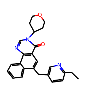 CCc1ccc(Cc2cc3c(=O)n(C4CCOCC4)cnc3c3ccccc23)cn1